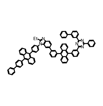 CCc1nc2ccc(-c3cccc(-c4c5ccccc5c(-c5cccc(-c6nc(-c7ccccc7)nc(-c7cccc(-c8ccccc8)c7)n6)c5)c5ccccc45)c3)cc2n1-c1ccc(-c2c3ccccc3c(-c3ccc(-c4ccccc4)cc3)c3ccccc23)cc1